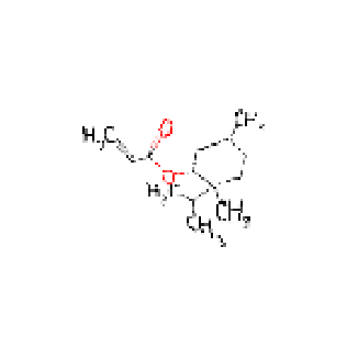 C=CC(=O)OC1CC(C)CCC1(C)C(C)C